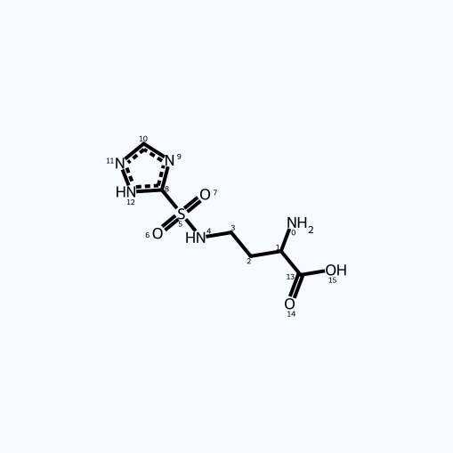 NC(CCNS(=O)(=O)c1ncn[nH]1)C(=O)O